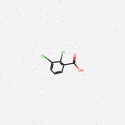 O=C(O)c1[c]ccc(Cl)c1Cl